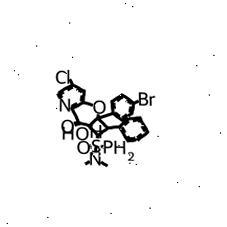 CN(C)[SH](=O)(P)C1C(c2ccccc2)C2(c3ccc(Br)cc3)Oc3cc(Cl)cnc3C(=O)C12O